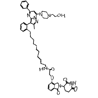 Cc1nn2c(N3CCN(CCO)CC3)cc(-c3ccccc3)nc2c1-c1ccccc1CCCCCCCCCCCNC(=O)COc1cccc2c1CN(C1CCC(=O)NC1=O)C2=O